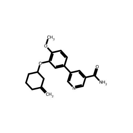 C=C1CCCC(Oc2cc(-c3cncc(C(N)=O)c3)ccc2OC)C1